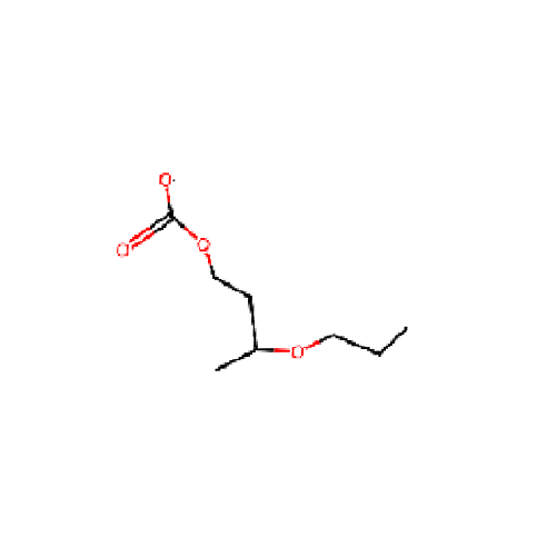 CCCOC(C)CCOC([O])=O